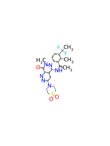 Cc1c([C@@H](C)Nc2nn(C)c(=O)c3nnc(N4CCS(=O)(=O)CC4)cc23)cccc1C(C)(F)F